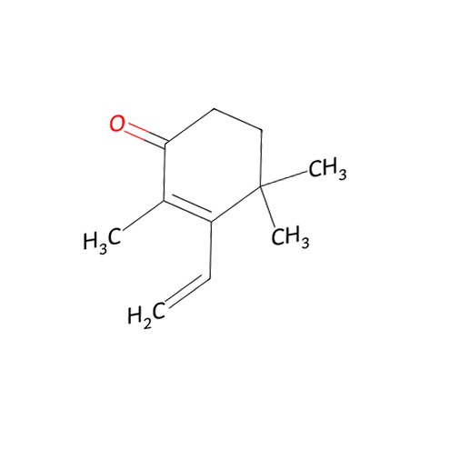 C=CC1=C(C)C(=O)CCC1(C)C